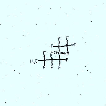 CC(F)(F)C(F)(F)C(F)(F)P(=O)(O)C(F)(F)C(F)(F)F